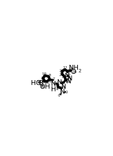 CN(C)c1cc(NCc2cccc(B(O)O)c2)nc(-c2nnn3c(C(N)=O)cccc23)n1